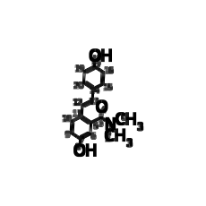 CN(C)C(=O)c1cc(O)ccc1/C=C/c1ccc(O)cc1